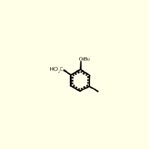 Cc1ccc(C(=O)O)c(OCC(C)C)c1